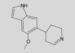 COc1cc2cc[nH]c2cc1C1CC=NCC1